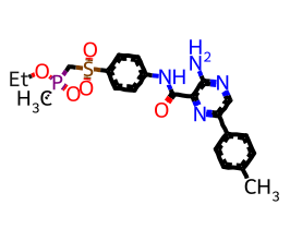 CCO[P@](C)(=O)CS(=O)(=O)c1ccc(NC(=O)c2nc(-c3ccc(C)cc3)cnc2N)cc1